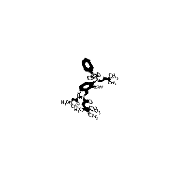 CC(C)CCN(c1cccc(CN(NC(=O)CN(C)C)C(=O)CC(C)(C)C)c1O)S(=O)(=O)c1ccccc1